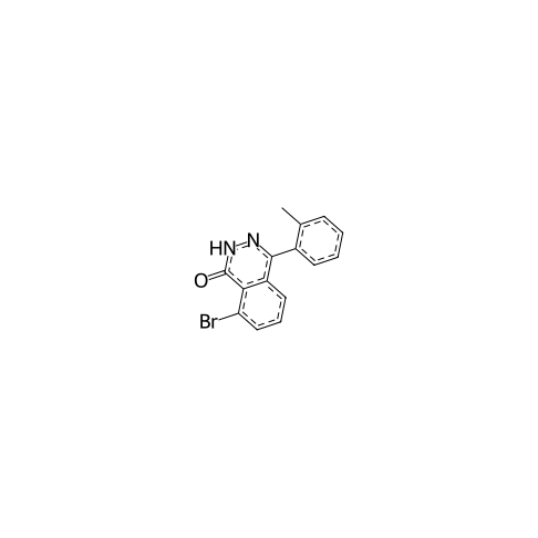 Cc1ccccc1-c1n[nH]c(=O)c2c(Br)cccc12